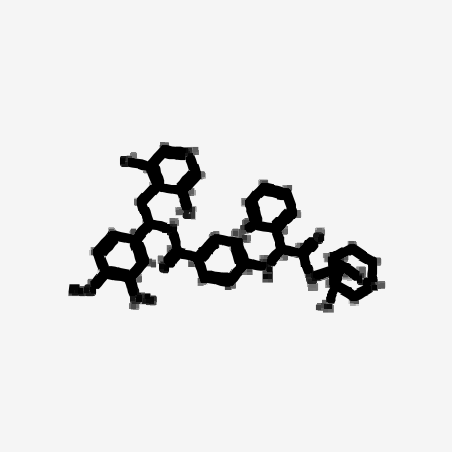 COc1ccc(C(Cc2c(Cl)cncc2Cl)OC(=O)c2ccc(NC(C(=O)O[C@H]3CN4CCC3CC4)c3ccccc3F)cc2)cc1OC